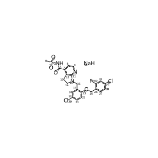 CS(=O)(=O)NC(=O)c1ccnc2c1CCN2Cc1cc(Cl)ccc1OCc1ccc(Cl)cc1F.[NaH]